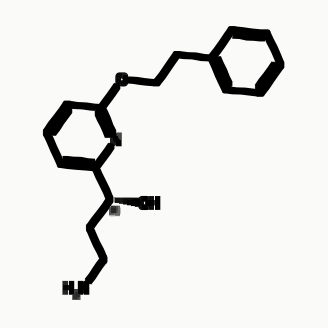 NCC[C@@H](O)c1cccc(OCCc2ccccc2)n1